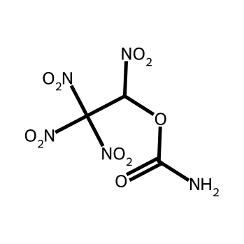 NC(=O)OC([N+](=O)[O-])C([N+](=O)[O-])([N+](=O)[O-])[N+](=O)[O-]